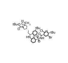 CC(C)(C)OC(=O)N1C[C@@H](CCC(Nc2cccc(S(=O)(=O)NC(=O)c3cc(Br)c(C(C)(C)C)nc3Cl)n2)c2cc(C(C)(C)C)ccn2)CC1(C)C